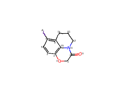 O=C1COc2ccc(I)c3c2N1CCC3